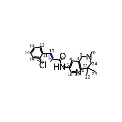 CN1Cc2cc(NC(=O)/C=C/c3ccccc3Cl)cnc2C(C)(C)C1